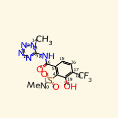 CNS(=O)(=O)c1c(C(=O)Nc2nnnn2C)ccc(C(F)(F)F)c1O